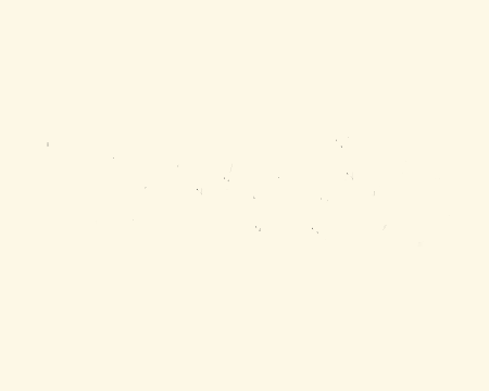 OCc1ccc(C=NNc2ncnc3c2cnn3-c2ccccc2)o1